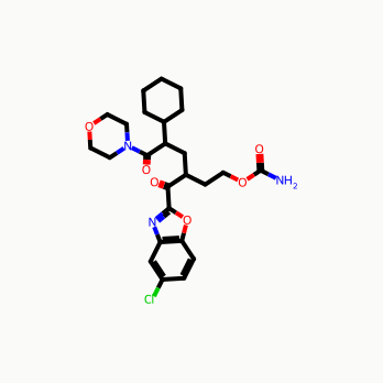 NC(=O)OCCC(CC(C(=O)N1CCOCC1)C1CCCCC1)C(=O)c1nc2cc(Cl)ccc2o1